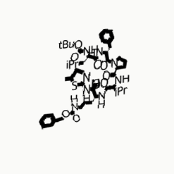 CC(C)C[C@H](NC(=O)OC(C)(C)C)C(=O)N[C@H](Cc1ccccc1)C(=O)N1CCC[C@H]1C(=O)N[C@@H](C(C)C)[C@H](O)N[C@H](CCCNC(=O)OCc1ccccc1)C(=O)NC1=NCCC(C)S1